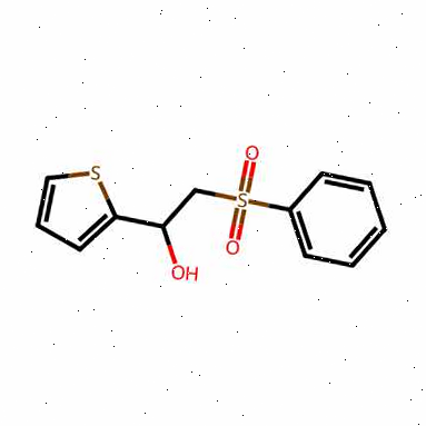 O=S(=O)(CC(O)c1cccs1)c1ccccc1